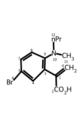 C=C(C(=O)O)c1cc(Br)ccc1N(C)CCC